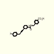 O=C(O)c1ccc(CNC(=O)c2cccc(C#CCc3ccc(F)cc3)c2)cc1